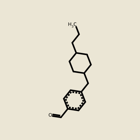 CCCC1CCC(Cc2ccc(C=O)cc2)CC1